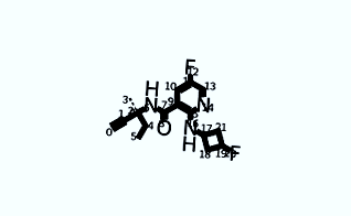 C#C[C@](C)(CC)NC(=O)c1cc(F)cnc1NC1CC(F)C1